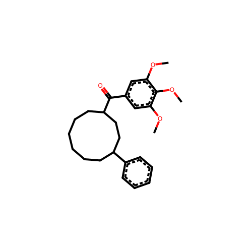 COc1cc(C(=O)C2CCCCCCC(c3ccccc3)CC2)cc(OC)c1OC